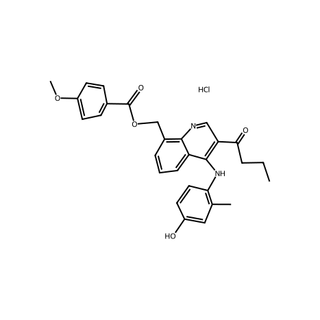 CCCC(=O)c1cnc2c(COC(=O)c3ccc(OC)cc3)cccc2c1Nc1ccc(O)cc1C.Cl